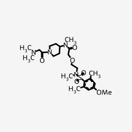 COc1cc(C)c(S(=O)(=O)N(C)CCOCC(=O)N(C)C2CCN(C(=O)CN(C)C)CC2)c(C)c1